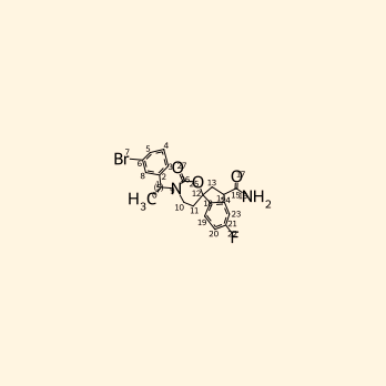 C[C@@H](c1cccc(Br)c1)N1CCC(CCC(N)=O)(c2ccc(F)cc2)OC1=O